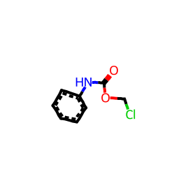 O=C(Nc1ccccc1)OCCl